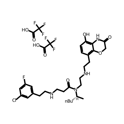 CCCC[C@@H](C)N(CCNCCc1ccc(O)c2c1OCC(=O)N2)C(=O)CCNCCc1cc(F)cc(Cl)c1.O=C(O)C(F)(F)F.O=C(O)C(F)(F)F